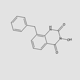 O=c1[nH]c2c(Cc3ccccc3)cccc2c(=O)n1O